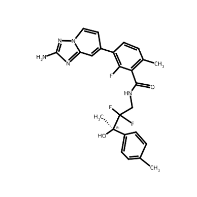 Cc1ccc([C@@](C)(O)C(F)(F)CNC(=O)c2c(C)ccc(-c3ccn4nc(N)nc4c3)c2F)cc1